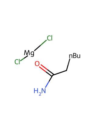 CCCCCC(N)=O.[Cl][Mg][Cl]